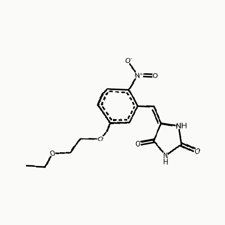 CCOCCOc1ccc([N+](=O)[O-])c(C=C2NC(=O)NC2=O)c1